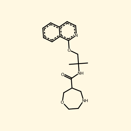 CC(C)(COc1nccc2ccccc12)NC(=O)C1CNCCOC1